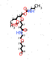 CCCNC(=O)OCC(CC(CC)OO)OCCCC(=O)NCCOCCCC=O